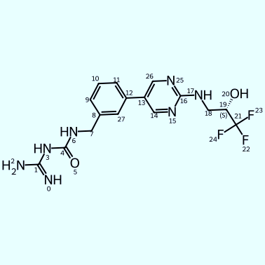 N=C(N)NC(=O)NCc1cccc(-c2cnc(NC[C@H](O)C(F)(F)F)nc2)c1